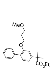 CCOC(=O)C(C)(C)c1ccc(-c2ccccc2)c(OCCCOC)c1